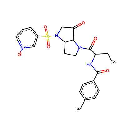 CC(C)CC(NC(=O)c1ccc(C(C)C)cc1)C(=O)N1CCC2C1C(=O)CN2S(=O)(=O)c1ccc[n+]([O-])c1